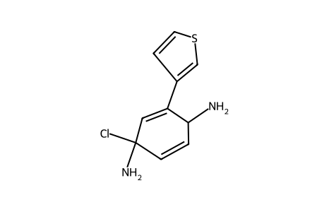 NC1C=CC(N)(Cl)C=C1c1ccsc1